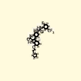 NC(=O)c1[nH]c2c(OCCN3CCCC3)cccc2c1-c1ccc(NC(=O)Nc2cc(C(F)(F)F)ccc2F)cc1